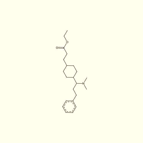 CCOC(=O)CCC1CCC(C(CCc2ccccc2)N(C)C)CC1